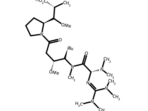 CC[C@H](C)C([C@@H](CC(=O)N1CCC[C@H]1C(OC)[C@@H](C)C(=O)O)OC)N(C)C(=O)[C@@H](N=C(N(C)C)N(C)C)N(C)C